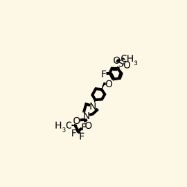 C[C@@H](OC(=O)N1CCN([C@H]2CC[C@H](COc3ccc(S(C)(=O)=O)cc3F)CC2)CC1)C(F)(F)F